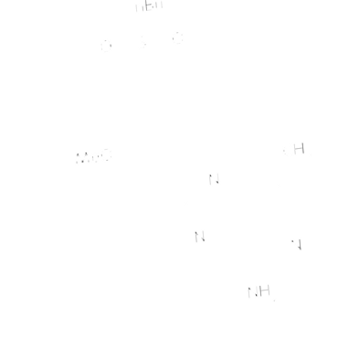 CCCCS(=O)(=O)CCCCn1c(CCOC)nc2c(N)ncc(C)c21